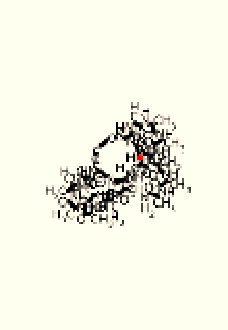 C=CC(=O)NC(C)C(=O)N[C@@H](C)C(=O)NC(C)C(=O)N[C@@H](C)C(=O)NC(C)C(=O)N[C@@H](C)C(=O)N[C@@]1(C)CCC/C=C\CC[C@@](C)(C(=O)N[C@@H](C)C(=O)NC(C)C(=O)N[C@@H](C)C(=O)NC(C)C(=O)N[C@@H](C)C(=O)NC(C)C(=O)N[C@@H](C)C(=O)NC(C)C(N)=O)NC(=O)[C@H](C)NC(=O)CNC(=O)[C@H](C)NC1=O